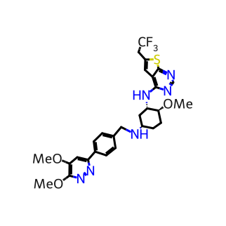 COc1cc(-c2ccc(CN[C@H]3CC[C@H](OC)[C@@H](Nc4ncnc5sc(CC(F)(F)F)cc45)C3)cc2)nnc1OC